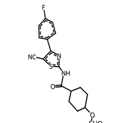 N#Cc1sc(NC(=O)C2CCC(OC=O)CC2)nc1-c1ccc(F)cc1